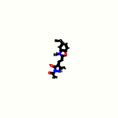 CCN1/C(=C\C=C2\C(=O)N(C(=O)C(C)C)N=C2C)Oc2ccc(OC)cc21